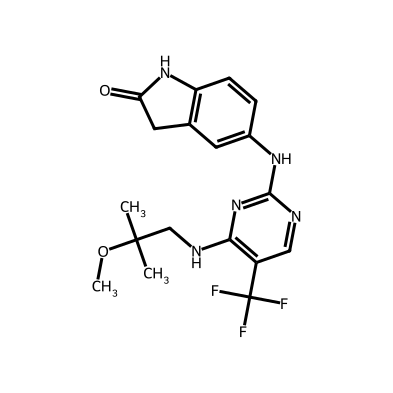 COC(C)(C)CNc1nc(Nc2ccc3c(c2)CC(=O)N3)ncc1C(F)(F)F